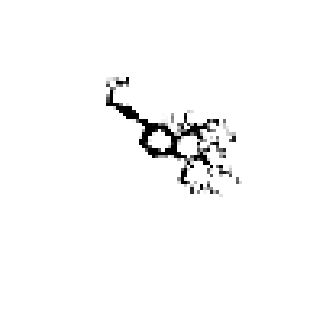 CCN(CC)c1ccc(C#CCO)cc1C(C)(C)C